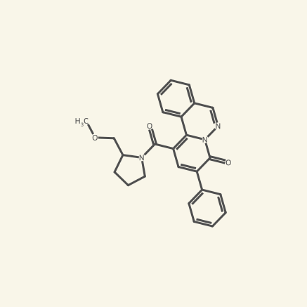 COCC1CCCN1C(=O)c1cc(-c2ccccc2)c(=O)n2ncc3ccccc3c12